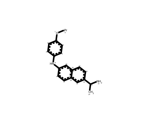 CC(C)Oc1ccc(Nc2ccc3cc(C(C)N)ccc3c2)cc1